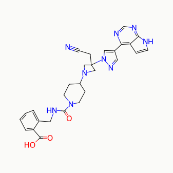 N#CCC1(n2cc(-c3ncnc4[nH]ccc34)cn2)CN(C2CCN(C(=O)NCc3ccccc3C(=O)O)CC2)C1